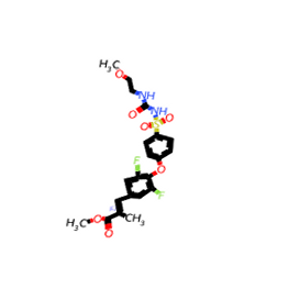 COCCNC(=O)NS(=O)(=O)c1ccc(Oc2c(F)cc(/C=C(\C)C(=O)OC)cc2F)cc1